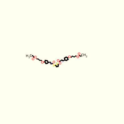 C=CC(=O)OCCCCOc1ccc(/C=C/C(=O)Oc2ccc(SC(=O)/C=C/c3ccc(OCCCCOC(=O)C=C)cc3)s2)cc1